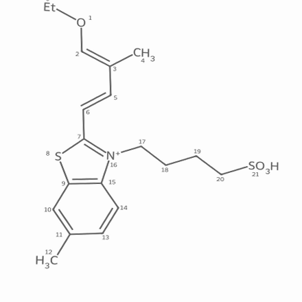 CCOC=C(C)C=Cc1sc2cc(C)ccc2[n+]1CCCCS(=O)(=O)O